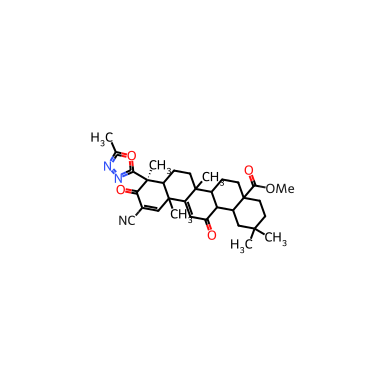 COC(=O)C12CCC3C(C(=O)C=C4C5(C)C=C(C#N)C(=O)[C@@](C)(c6nnc(C)o6)C5CCC43C)C1CC(C)(C)CC2